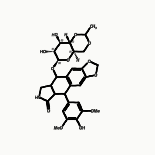 COc1cc(C2c3cc4c(cc3C(O[C@@H]3O[C@@H]5COC(C)O[C@H]5[C@H](O)[C@H]3O)C3CNC(=O)C23)OCO4)cc(OC)c1O